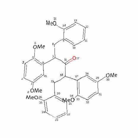 COc1ccc(OC)c(C(Cc2ccccc2OC)C(=O)C(Cc2ccccc2OC)c2cc(OC)ccc2OC)c1